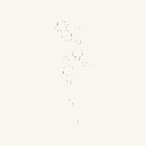 COc1cc(N2CCC(N3CC(C(C)(C)O)C3)CC2)c(C)cc1Nc1ncc(C)c(Nc2ccc3nccnc3c2P(C)(C)=O)n1